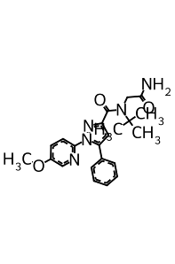 COc1ccc(-n2nc(C(=O)N(CC(N)=O)C(C)(C)C)cc2-c2ccccc2)nc1